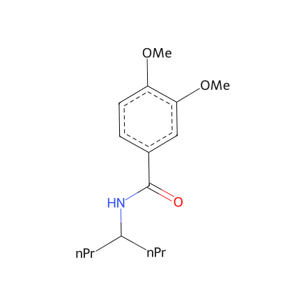 CCCC(CCC)NC(=O)c1ccc(OC)c(OC)c1